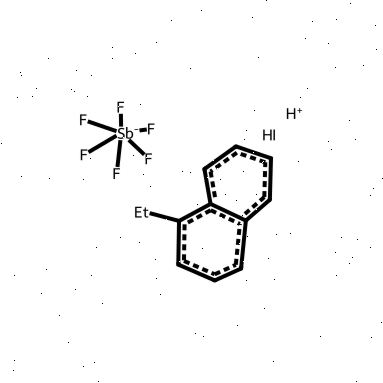 CCc1cccc2ccccc12.I.[F][Sb-]([F])([F])([F])([F])[F].[H+]